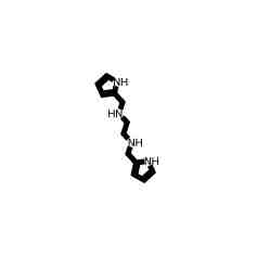 c1c[nH]c(CNCCNCc2ccc[nH]2)c1